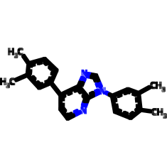 Cc1ccc(-c2ccnc3c2ncn3-c2ccc(C)c(C)c2)cc1C